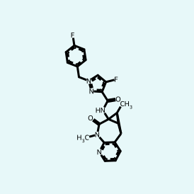 CN1C(=O)C2(NC(=O)c3nn(Cc4ccc(F)cc4)cc3F)C3C(c4cccnc41)C32C